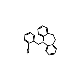 N#Cc1ccccc1CN1c2ccccc2CCc2ccccc21